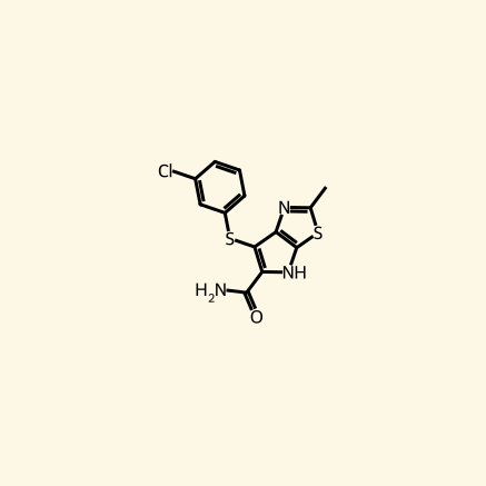 Cc1nc2c(Sc3cccc(Cl)c3)c(C(N)=O)[nH]c2s1